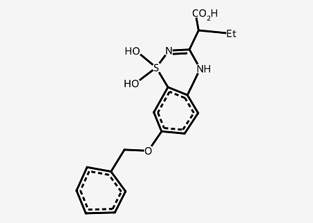 CCC(C(=O)O)C1=NS(O)(O)c2cc(OCc3ccccc3)ccc2N1